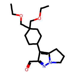 CCOCC1(COCC)CCC(c2c(C=O)nn3c2CCC3)CC1